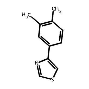 Cc1ccc(-c2cs[c]n2)cc1C